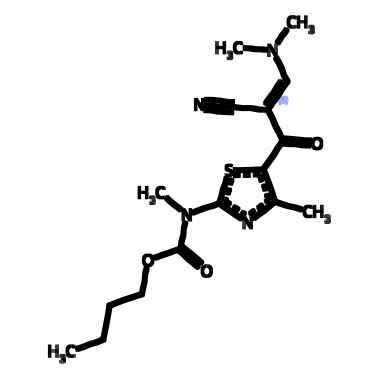 CCCCOC(=O)N(C)c1nc(C)c(C(=O)/C(C#N)=C/N(C)C)s1